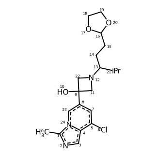 Cc1ncc2c(Cl)cc(C3(O)CN(C(CCC4OCCO4)C(C)C)C3)cn12